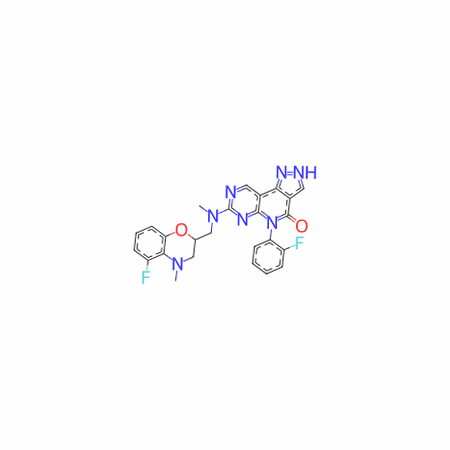 CN(CC1CN(C)c2c(F)cccc2O1)c1ncc2c3n[nH]cc3c(=O)n(-c3ccccc3F)c2n1